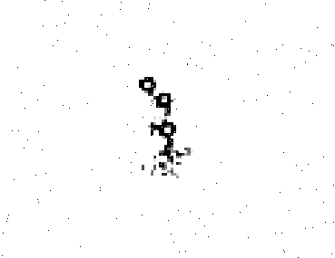 CC1(C)OCC(CCc2ccc(OCc3cccc(Oc4ccccc4)c3)c(C(F)(F)F)c2)(NC(=O)O)CO1